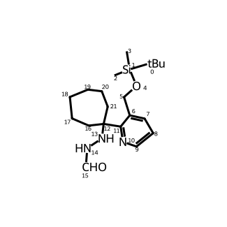 CC(C)(C)[Si](C)(C)OCc1cccnc1C1(NNC=O)CCCCCC1